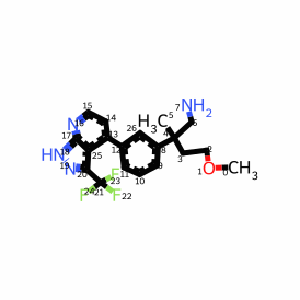 COCCC(C)(CN)c1cccc(-c2ccnc3[nH]nc(C(F)(F)F)c23)c1